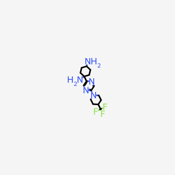 NC1CCC(N)(c2cnc(N3CCC(C(F)(F)F)CC3)cn2)CC1